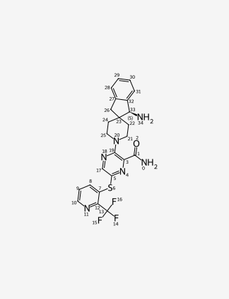 NC(=O)c1nc(Sc2cccnc2C(F)(F)F)cnc1N1CCC2(CC1)Cc1ccccc1[C@H]2N